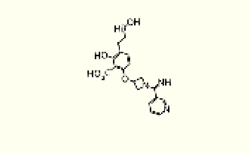 N=C(c1cccnc1)N1CC(Oc2ccc(CCBO)c(O)c2C(=O)O)C1